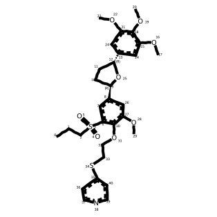 CCCS(=O)(=O)c1cc([C@H]2CC[C@H](c3cc(OC)c(OC)c(OC)c3)O2)cc(OC)c1OCCSc1ccncc1